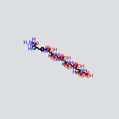 Nc1nc2c(c(=O)[nH]1)C(CCc1ccc(C(=O)NC(CCC(=O)N[SiH](CCC(=O)N[C@@H](CCC(=O)N[SiH](CCC(=O)NC(CCC(=O)N[SiH](CCC(=O)O)C(=O)O)C(=O)O)C(=O)O)C(=O)O)C(=O)O)C(=O)O)cc1)CN2